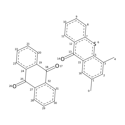 Cc1cc(C)c2sc3ccccc3c(=O)c2c1.O=C1c2ccccc2C(=O)c2ccccc21